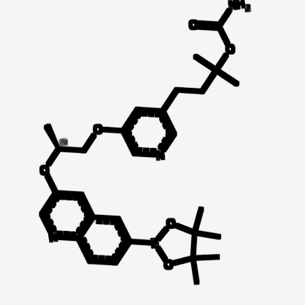 C[C@@H](COc1cncc(CCC(C)(C)OC(N)=O)c1)Oc1cnc2ccc(B3OC(C)(C)C(C)(C)O3)cc2c1